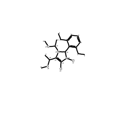 CCc1cccc(CC)c1C1N(Cl)C(Cl)=C(C(C)OC)N1C(C)OC